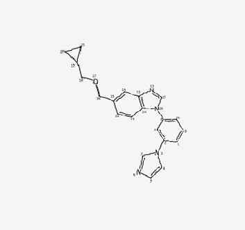 c1cc(-n2ccnc2)cc(-n2cnc3cc(COCC4CC4)ccc32)c1